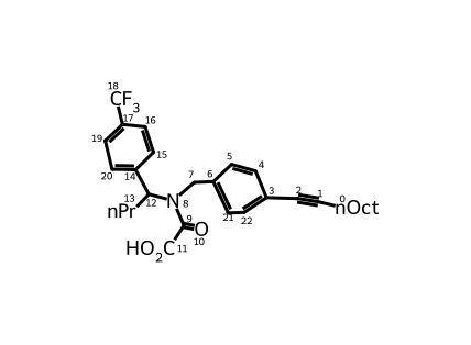 CCCCCCCCC#Cc1ccc(CN(C(=O)C(=O)O)C(CCC)c2ccc(C(F)(F)F)cc2)cc1